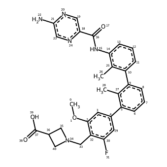 COc1cc(-c2cccc(-c3cccc(NC(=O)c4cnc(N)cn4)c3C)c2C)cc(F)c1CN1CC(C(=O)O)C1